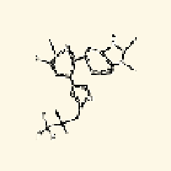 Cc1nc(-c2ccc3c(c2)NC(C)N3C)c(-c2cnn(CC(C)(C)C(F)(F)F)c2)cc1F